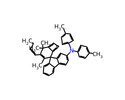 C=C/C=C\C1=C(C)C2(c3ccccc3-c3ccc(N(c4ccc(C)cc4)c4ccc(C)cc4)cc32)c2ccccc2C1(C)C